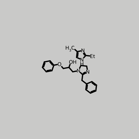 CCc1nc(C)c[nH]1.OC(COc1ccccc1)CN1CCN=C1Cc1ccccc1